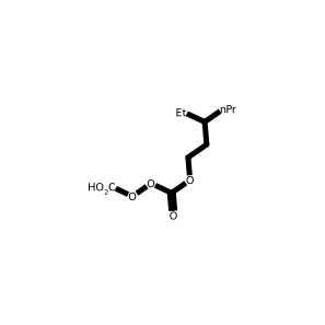 CCCC(CC)CCOC(=O)OOC(=O)O